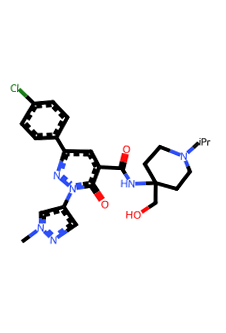 CC(C)N1CCC(CO)(NC(=O)c2cc(-c3ccc(Cl)cc3)nn(-c3cnn(C)c3)c2=O)CC1